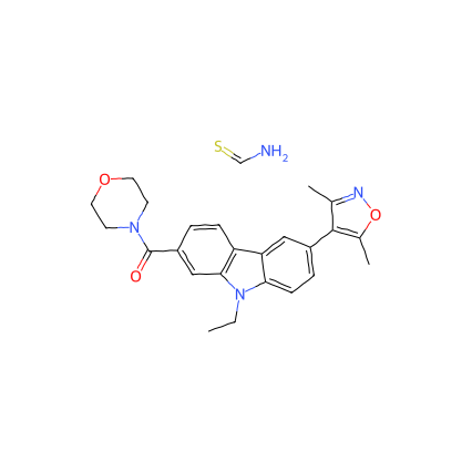 CCn1c2ccc(-c3c(C)noc3C)cc2c2ccc(C(=O)N3CCOCC3)cc21.NC=S